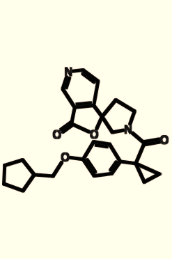 O=C1OC2(CCN(C(=O)C3(c4ccc(OCC5CCCC5)cc4)CC3)C2)c2ccncc21